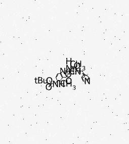 Cc1c(NC(=O)OC(C)(C)C)ccc2nc(NC(C)(C)C(=O)NCc3ccncc3)oc(=O)c12